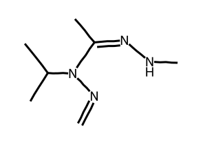 C=NN(/C(C)=N\NC)C(C)C